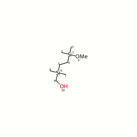 CO[Si](C)(C)CC[Si](C)(C)CO